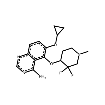 CN1CCC(Oc2c(OC3CC3)ccc3ncnc(N)c23)C(F)(F)C1